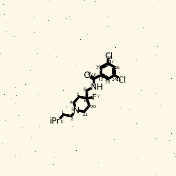 CC(C)CCN1CCC(F)(CNC(=O)c2cc(Cl)cc(Cl)c2)CC1